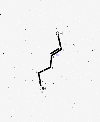 O/C=C/CCO